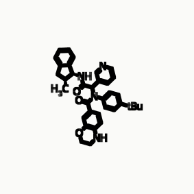 C[C@H]1Cc2ccccc2[C@H]1NC(=O)C(c1cccnc1)N(C(=O)c1ccc2c(c1)OCCN2)c1ccc(C(C)(C)C)cc1